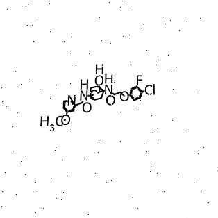 COc1ccnc(C(=O)NC23CCC(NC(=O)COc4ccc(Cl)c(F)c4)(CC2)C(O)C3)c1